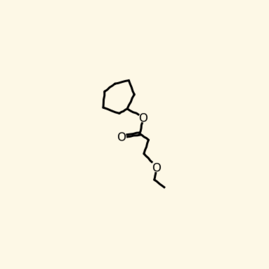 CCOCCC(=O)OC1CCCCCC1